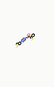 O=C(CCN1CCN(c2ccc3sccc3c2)CC1)c1csc2ccccc12